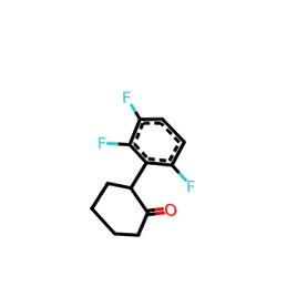 O=C1CCCCC1c1c(F)ccc(F)c1F